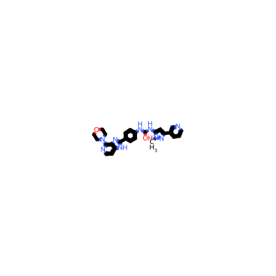 Cn1nc(-c2cccnc2)cc1NC(O)Nc1ccc(-c2nc3c(N4CCOCC4)nccc3[nH]2)cc1